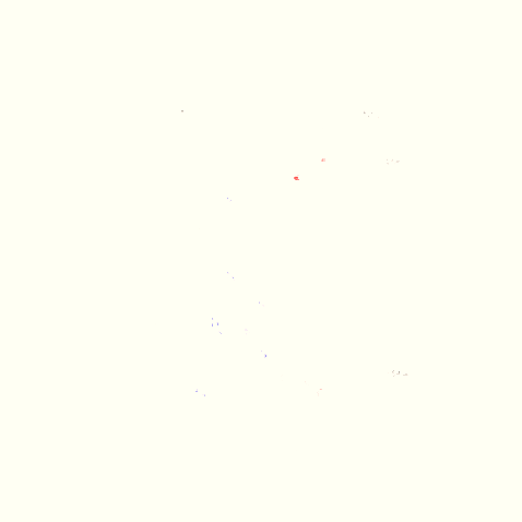 COc1ccc(CN(Cc2ccc(OC)cc2)S(=O)(=O)c2c(S(=O)(=O)CC[Si](C)(C)C)ccc(-c3cccc4[nH]c(NC(=O)OC(C)(C)C)nc34)c2-c2nnn(Cc3ccc(OC)cc3)n2)cc1